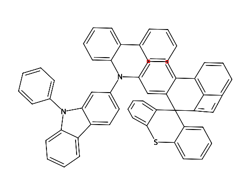 c1ccc(-c2ccccc2N(c2ccc3c(c2)C2(c4ccccc4Sc4ccccc42)c2cccc4cccc-3c24)c2ccc3c4ccccc4n(-c4ccccc4)c3c2)cc1